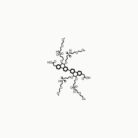 COCCOCCNS(=O)(=O)CCCOC1c2cc(CC(=O)O)ccc2-c2ccc(-c3ccc4c(c3)C(OCCCS(=O)(=O)NCCOCCOC)C(OCCCS(=O)(=O)NCCOCCOC)c3cc(CC(=O)O)ccc3-4)cc2C1OCCCS(=O)(=O)NCCOCCOC